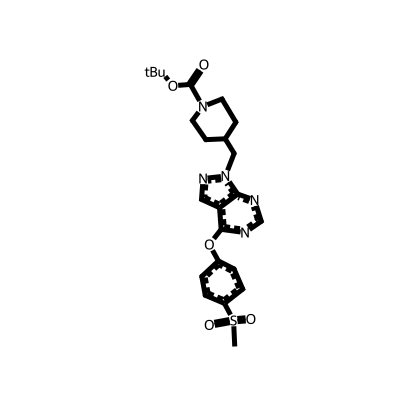 CC(C)(C)OC(=O)N1CCC(Cn2ncc3c(Oc4ccc(S(C)(=O)=O)cc4)ncnc32)CC1